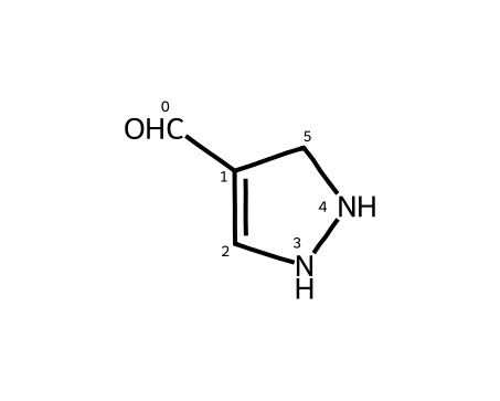 O=CC1=CNNC1